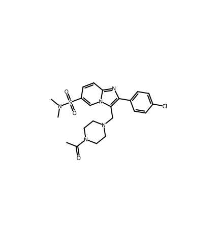 CC(=O)N1CCN(Cc2c(-c3ccc(Cl)cc3)nc3ccc(S(=O)(=O)N(C)C)cn23)CC1